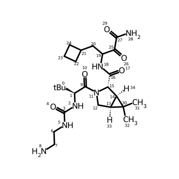 CC(C)(C)[C@H](NC(=O)NCCN)C(=O)N1C[C@H]2[C@@H]([C@H]1C(=O)NC(CC1CCC1)C(=O)C(N)=O)C2(C)C